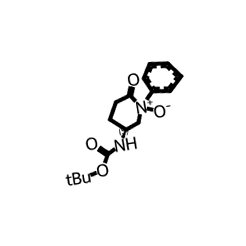 CC(C)(C)OC(=O)N[C@H]1CCC(=O)[N+]([O-])(c2ccccc2)C1